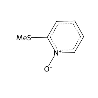 CSc1cccc[n+]1[O-]